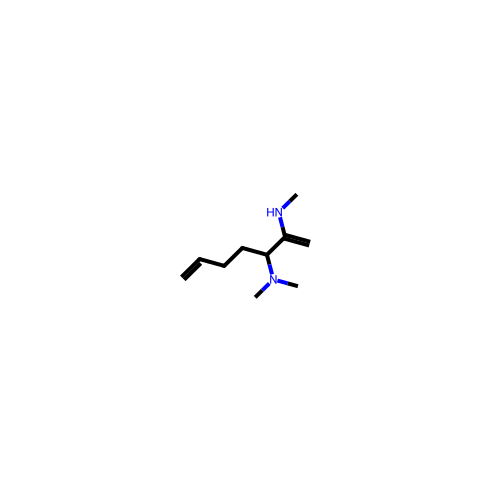 C=CCCC(C(=C)NC)N(C)C